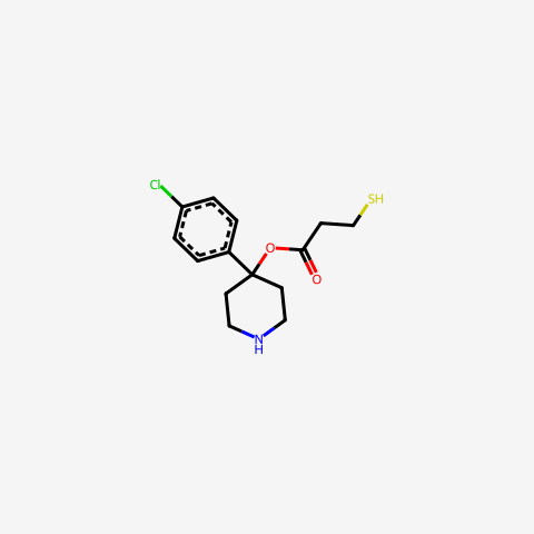 O=C(CCS)OC1(c2ccc(Cl)cc2)CCNCC1